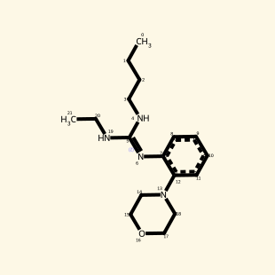 CCCCN/C(=N\c1ccccc1N1CCOCC1)NCC